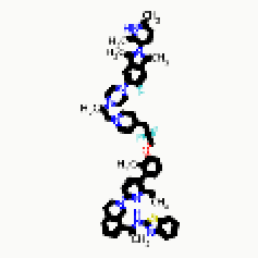 C=Cc1nc(N2CCc3cccc(C(=C)Nc4nc5ccccc5s4)c3C2)ccc1-c1cccc(OCC(F)(F)CC2CCN(CC(=C)N3CCN(c4cc5c(=C)n(C6CCC(=C)NC6=C)c(=C)c5cc4F)CC3)CC2)c1C